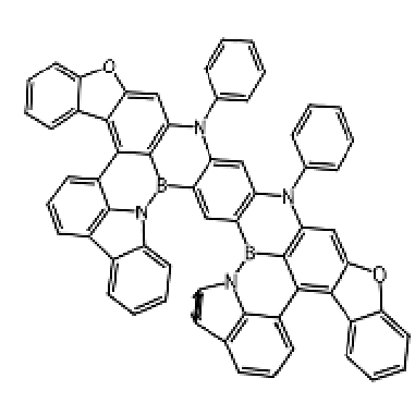 c1ccc(N2c3cc4c(cc3B3c5c2cc2oc6ccccc6c2c5-c2cccc5c6ccccc6n3c25)B2c3c(cc5oc6ccccc6c5c3-c3cccc5c6ccccc6n2c35)N4c2ccccc2)cc1